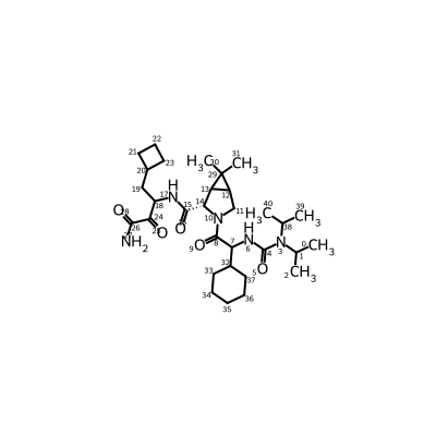 CC(C)N(C(=O)NC(C(=O)N1CC2C([C@H]1C(=O)NC(CC1CCC1)C(=O)C(N)=O)C2(C)C)C1CCCCC1)C(C)C